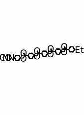 CCc1ccc(C(=O)Oc2ccc(C(=O)Oc3ccc(C(=O)Oc4ccc(C(=O)Oc5ccc(N6CCN(C)CC6)cc5)cc4)cc3)cc2)cc1